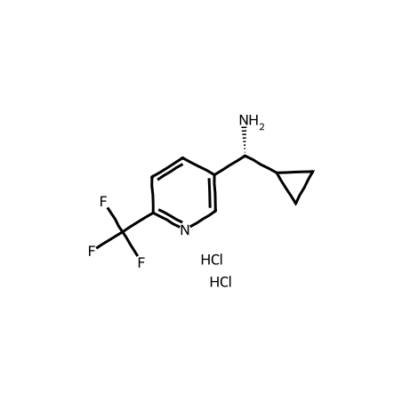 Cl.Cl.N[C@@H](c1ccc(C(F)(F)F)nc1)C1CC1